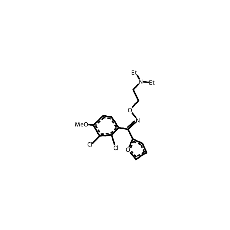 CCN(CC)CCO/N=C(/c1ccco1)c1ccc(OC)c(Cl)c1Cl